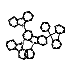 c1ccc(-n2c3ccc(C4(c5ccccc5)c5ccccc5-c5ccccc54)cc3c3cc(-n4c5ccccc5c5ccccc54)cc(-n4c5ccccc5c5ccccc54)c32)cc1